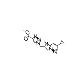 COC(=O)c1cn(Cc2cn3ncc(C4CC4)cc3n2)nn1